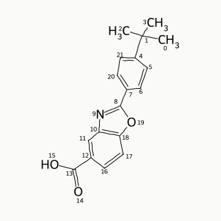 CC(C)(C)c1ccc(-c2nc3cc(C(=O)O)ccc3o2)cc1